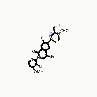 CCN(C=O)/C(CO)=N\N(C)c1cc2c(C(C)C)cn(-c3nccc(OC)c3Cl)c(=O)c2cc1F